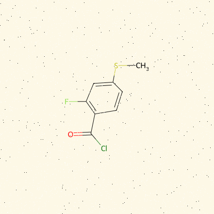 CSc1ccc(C(=O)Cl)c(F)c1